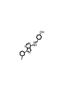 Oc1ccc(/C=N/Nc2ncnc3c2cnn3-c2cccc(F)c2)cc1